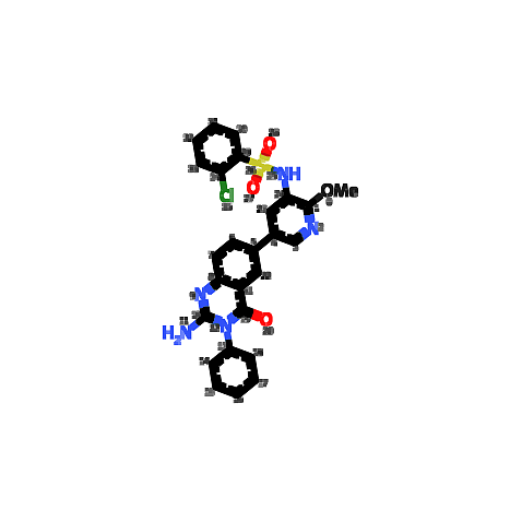 COc1ncc(-c2ccc3nc(N)n(-c4ccccc4)c(=O)c3c2)cc1NS(=O)(=O)c1ccccc1Cl